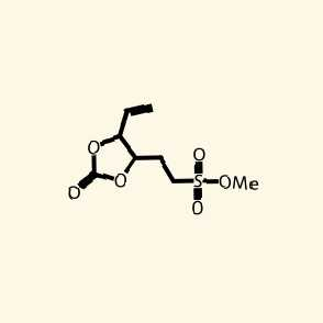 C=CC1OC(=O)OC1CCS(=O)(=O)OC